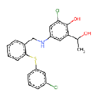 CC(O)c1cc(NCc2ccccc2Sc2cccc(Cl)c2)cc(Cl)c1O